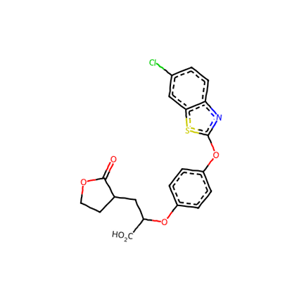 O=C1OCCC1CC(Oc1ccc(Oc2nc3ccc(Cl)cc3s2)cc1)C(=O)O